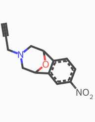 C#CCN1CC2OC(C1)c1cc([N+](=O)[O-])ccc12